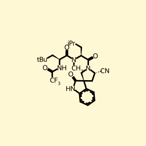 CC(C)C[C@@H](C(=O)N1C[C@]2(C[C@H]1C#N)C(=O)Nc1ccccc12)N(C)C(=O)[C@H](CC(C)(C)C)NC(=O)C(F)(F)F